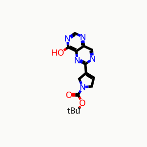 CC(C)(C)OC(=O)N1CC=C(c2ncc3ncnc(O)c3n2)C1